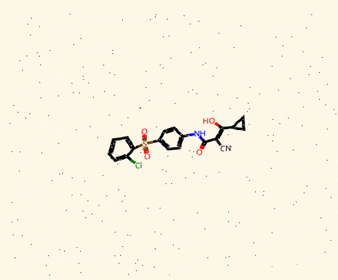 N#CC(C(=O)Nc1ccc(S(=O)(=O)c2ccccc2Cl)cc1)=C(O)C1CC1